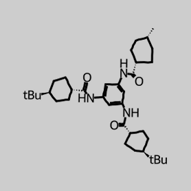 CC(C)(C)[C@H]1CC[C@H](C(=O)Nc2cc(NC(=O)[C@H]3CC[C@@H](C)CC3)cc(NC(=O)[C@H]3CC[C@H](C(C)(C)C)CC3)c2)CC1